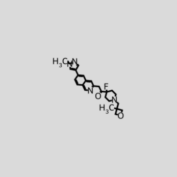 Cn1cc(-c2ccc3cnc(CC(=O)C4(F)CCN(CC5(C)COC5)CC4)cc3c2)cn1